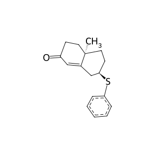 C[C@@]12CCC(=O)C=C1C[C@H](Sc1ccccc1)CC2